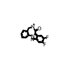 CN1Cc2ccccc2-n2nc3cc(F)c(F)cc3c2C1=O